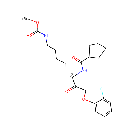 CC(C)(C)OC(=O)NCCCCC[C@H](NC(=O)C1CCCC1)C(=O)COc1ccccc1F